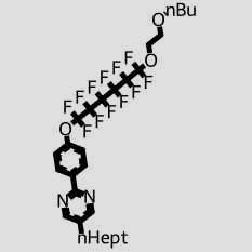 CCCCCCCc1cnc(-c2ccc(OC(F)(F)C(F)(F)C(F)(F)C(F)(F)C(F)(F)C(F)(F)OCCOCCCC)cc2)nc1